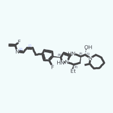 C=C(F)/N=C\C=C/Cc1ccc([C@H]2C=C3N[C@@H]([C@H](O)N4CCCCCC4C)C[C@@H](CC)N3N2)c(F)c1